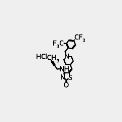 CC#CCNC1=NC(=O)SC1=CC1CCN(Cc2ccc(C(F)(F)F)cc2C(F)(F)F)CC1.Cl